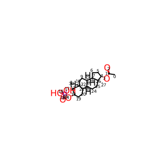 CC(=O)O[C@H]1CC[C@H]2[C@@H]3CC[C@H]4C[C@H](OP(=O)(O)O)CC[C@]4(C)[C@H]3CC[C@]12C